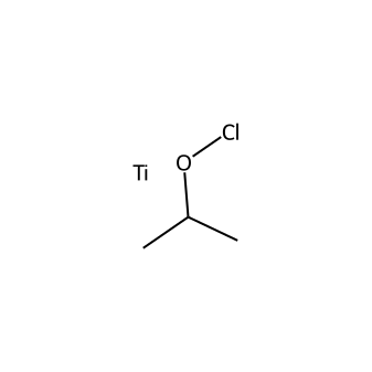 CC(C)OCl.[Ti]